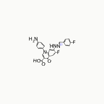 Nc1ccc(-n2cc(C(=O)O)c(=O)c3cc(F)c(N/N=C/c4ccc(F)cc4)cc32)cc1